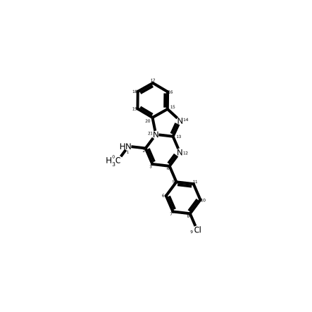 CNc1cc(-c2ccc(Cl)cc2)nc2nc3ccccc3n12